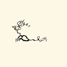 COC(=O)C=Cc1ccc2[nH]cc(CCN(C=O)OC(C)(C)C)c2c1